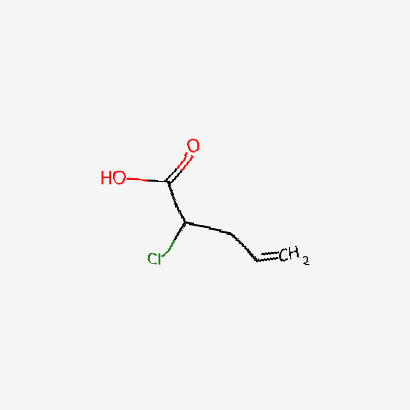 C=CCC(Cl)C(=O)O